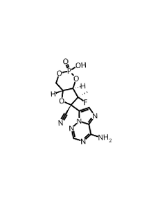 C[C@@]1(F)[C@@H]2OP(=O)(O)OC[C@H]2O[C@@]1(C#N)c1cnc2c(N)ncnn12